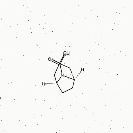 C[C@]1(O)C[C@H]2CC[C@@H](C1)N2C(=O)O